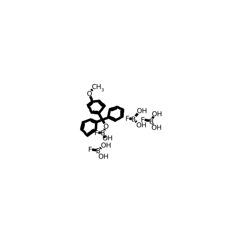 COc1ccc(C(OB(O)F)(c2ccccc2)c2ccccc2)cc1.OB(O)F.OB(O)F.OB(O)F